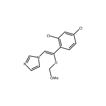 COCOC(=Cn1ccnc1)c1ccc(Cl)cc1Cl